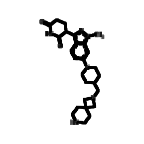 Cn1nc(C2CCC(=O)NC2=O)c2ccc(N3CCC(CN4CC5(CCNCC5)C4)CC3)cc21